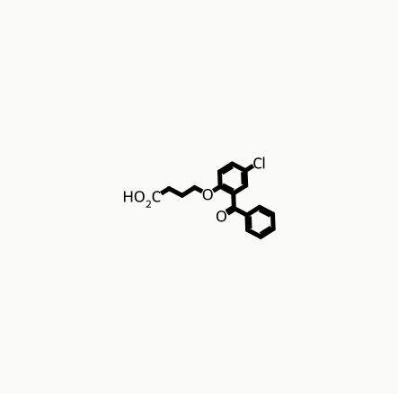 O=C(O)CCCOc1ccc(Cl)cc1C(=O)c1ccccc1